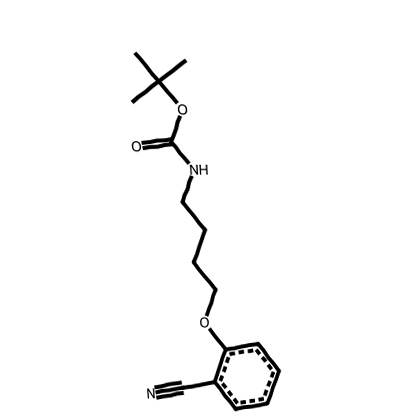 CC(C)(C)OC(=O)NCCCCOc1ccccc1C#N